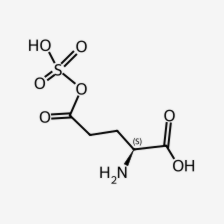 N[C@@H](CCC(=O)OS(=O)(=O)O)C(=O)O